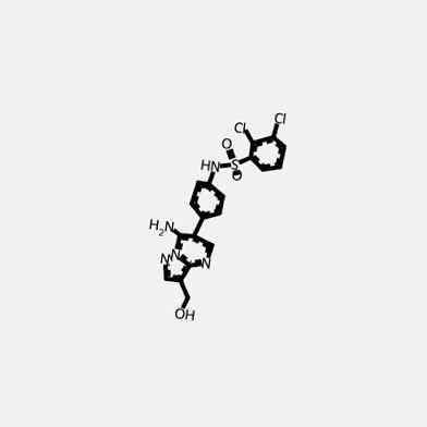 Nc1c(-c2ccc(NS(=O)(=O)c3cccc(Cl)c3Cl)cc2)cnc2c(CO)cnn12